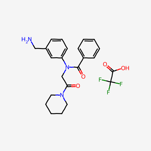 NCc1cccc(N(CC(=O)N2CCCCC2)C(=O)c2ccccc2)c1.O=C(O)C(F)(F)F